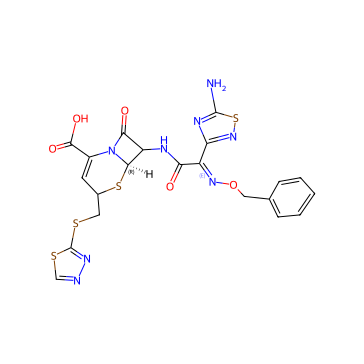 Nc1nc(/C(=N\OCc2ccccc2)C(=O)NC2C(=O)N3C(C(=O)O)=CC(CSc4nncs4)S[C@H]23)ns1